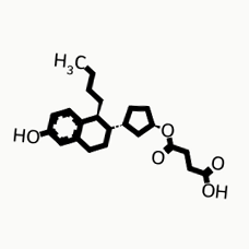 CCCC[C@@H]1c2ccc(O)cc2CCC1[C@@H]1CC[C@H](OC(=O)CCC(=O)O)C1